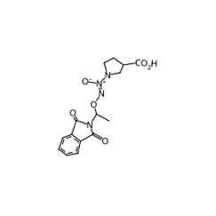 CC(O/N=[N+](\[O-])N1CCC(C(=O)O)C1)N1C(=O)c2ccccc2C1=O